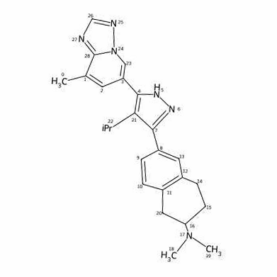 Cc1cc(-c2[nH]nc(-c3ccc4c(c3)CCC(N(C)C)C4)c2C(C)C)cn2ncnc12